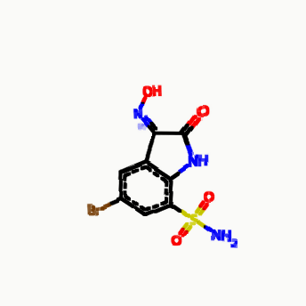 NS(=O)(=O)c1cc(Br)cc2c1NC(=O)/C2=N\O